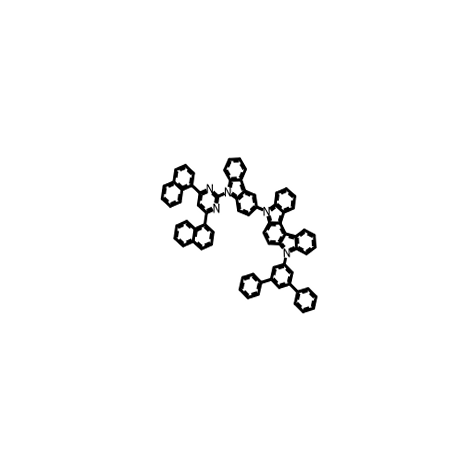 c1ccc(-c2cc(-c3ccccc3)cc(-n3c4ccccc4c4c5c6ccccc6n(-c6ccc7c(c6)c6ccccc6n7-c6nc(-c7cccc8ccccc78)cc(-c7cccc8ccccc78)n6)c5ccc43)c2)cc1